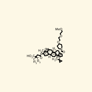 COCCOCCOC1CCN(C(=O)[C@]23CC[C@@H](C4(C)CC4)[C@@H]2[C@H]2CC[C@@H]4[C@@]5(C)CC[C@H](OC(=O)CC(C)(C)C(=O)O)C(C)(C)[C@@H]5CC[C@@]4(C)[C@]2(C)CC3)CC1